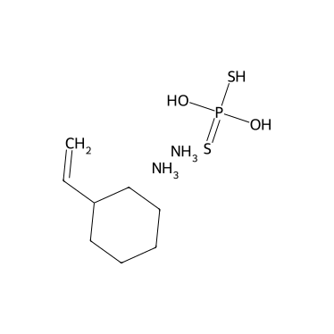 C=CC1CCCCC1.N.N.OP(O)(=S)S